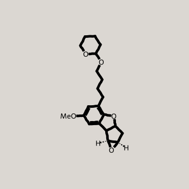 COc1cc(CCCCOC2CCCCO2)c2c(c1)C1C(C[C@H]3O[C@@H]13)O2